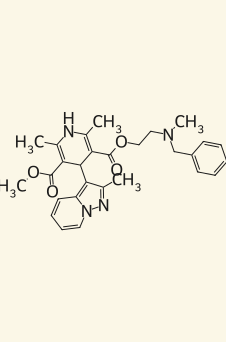 COC(=O)C1=C(C)NC(C)=C(C(=O)OCCN(C)Cc2ccccc2)C1c1c(C)nn2ccccc12